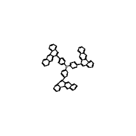 c1ccc2cc3c(cc2c1)c(-c1ccc(N(c2ccc(-c4cc5ccccc5c5cc6ccccc6cc45)cc2)c2ccc(-c4cc5ccccc5c5cc6ccccc6cc45)cc2)cc1)cc1ccccc13